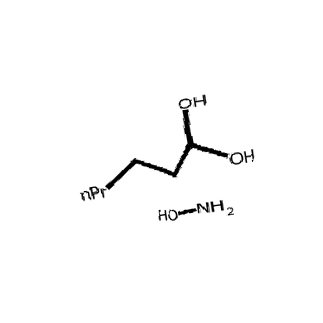 CCCCCC(O)O.NO